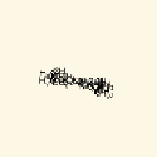 CC1(C)CC(OC(=O)c2ccc(OCc3ncc(C(=O)OC4CC(C)(C)NC(C)(C)C4)cn3)cc2)CC(C)(C)N1